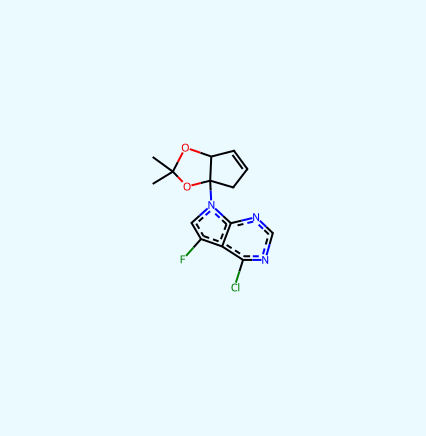 CC1(C)OC2C=CCC2(n2cc(F)c3c(Cl)ncnc32)O1